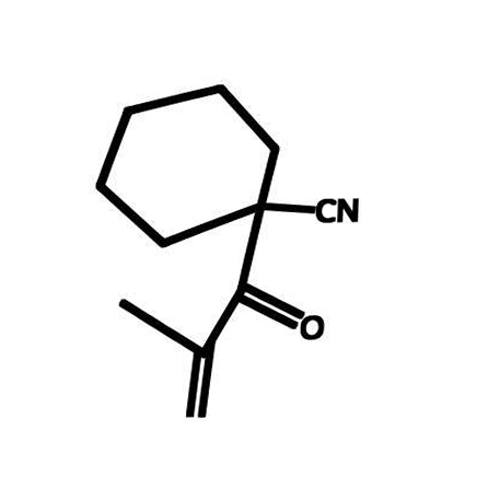 C=C(C)C(=O)C1(C#N)CCCCC1